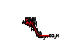 CCCC[C@H](NC(=O)[C@H](CNC(=O)CN(CC(=O)O)CC(=O)O)NC(=O)[C@H](Cc1c[nH]cn1)NC(=O)[C@H](CCC(N)=O)NC(=O)[C@H](CO)NC(=O)CNC(=O)COCCOCCNC(=O)COCCOCCNC(=O)CC[C@H](NC(=O)CCCCCCCCCCCCCCCCC(=O)O)C(=O)O)C(C)=O